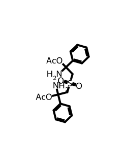 CC(=O)OC(N)(CS(=O)(=O)CC(N)(OC(C)=O)c1ccccc1)c1ccccc1